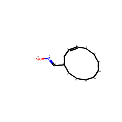 ON=CC1CC=CCCCCCCCC1